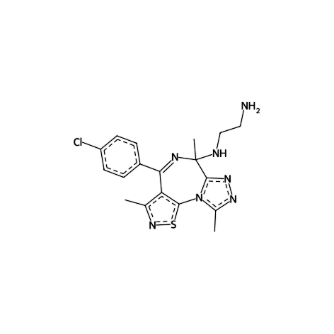 Cc1nsc2c1C(c1ccc(Cl)cc1)=NC(C)(NCCN)c1nnc(C)n1-2